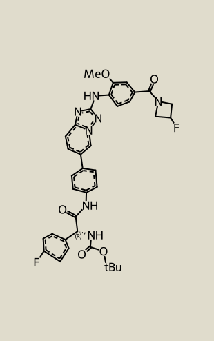 COc1cc(C(=O)N2CC(F)C2)ccc1Nc1nc2ccc(-c3ccc(NC(=O)[C@H](NC(=O)OC(C)(C)C)c4ccc(F)cc4)cc3)cn2n1